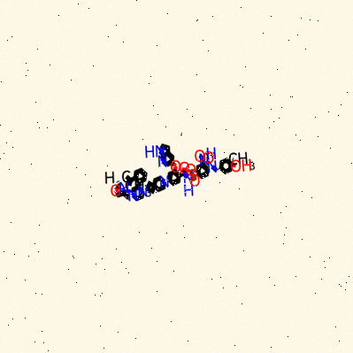 CC(C)c1ccccc1C1CN(Cc2cocn2)CCN1C1CC2(CCN(c3ccc(C(=O)NS(=O)(=O)c4ccc(NC[C@H]5CC[C@](C)(O)CC5)c([N+](=O)[O-])c4)c(Oc4cnc5[nH]ccc5c4)c3)CC2)C1